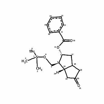 CC(C)(C)[Si](C)(C)OC[C@H]1[C@H](OC(=O)c2ccccc2)CC2CC(=O)C[C@@H]21